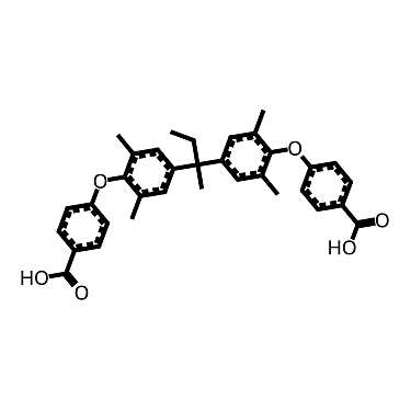 CCC(C)(c1cc(C)c(Oc2ccc(C(=O)O)cc2)c(C)c1)c1cc(C)c(Oc2ccc(C(=O)O)cc2)c(C)c1